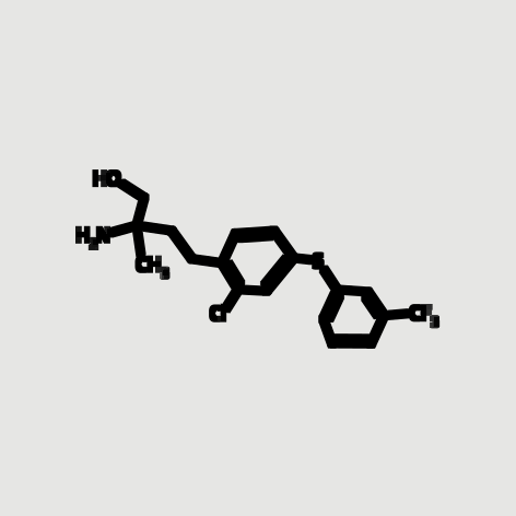 CC(N)(CO)CCc1ccc(Sc2cccc(C(F)(F)F)c2)cc1Cl